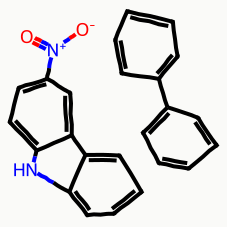 O=[N+]([O-])c1ccc2[nH]c3ccccc3c2c1.c1ccc(-c2ccccc2)cc1